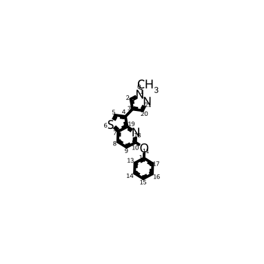 Cn1cc(-c2csc3ccc(Oc4ccccc4)nc23)cn1